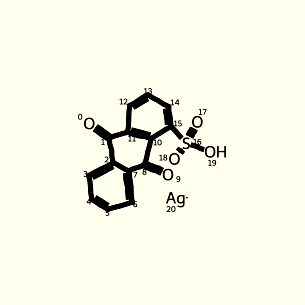 O=C1c2ccccc2C(=O)c2c1cccc2S(=O)(=O)O.[Ag]